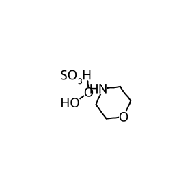 C1COCCN1.O=S(=O)(O)OO